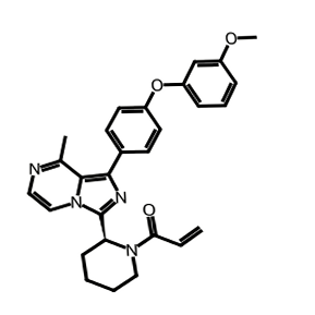 C=CC(=O)N1CCCC[C@H]1c1nc(-c2ccc(Oc3cccc(OC)c3)cc2)c2c(C)nccn12